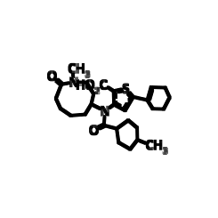 CC1CCC(C(=O)N(c2cc(C3=CCCCC3)sc2C(=O)O)C2CCCCC(=O)N(C)CC2)CC1